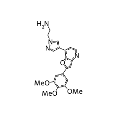 COc1cc(-c2cc3nccc(-c4cnn(CCN)c4)c3o2)cc(OC)c1OC